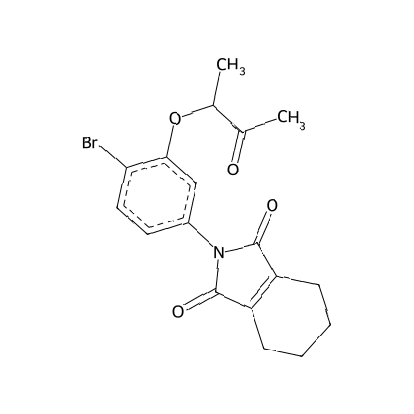 CC(=O)C(C)Oc1cc(N2C(=O)C3=C(CCCC3)C2=O)ccc1Br